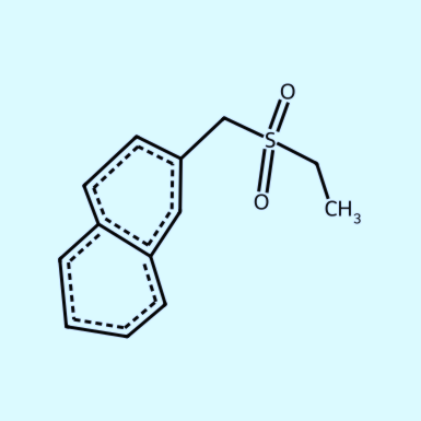 CCS(=O)(=O)Cc1ccc2ccccc2c1